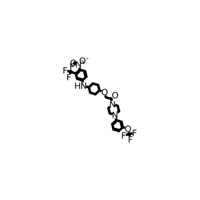 O=C(COC1CCC(Nc2ccc([N+](=O)[O-])c(C(F)(F)F)c2)CC1)N1CCN(c2cccc(OC(F)(F)F)c2)CC1